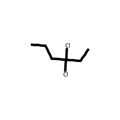 CCCC(Cl)(Cl)CC